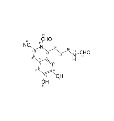 N#CC(=Cc1ccc(O)c(O)c1)N([C]=O)CCCCNC=O